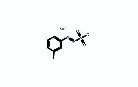 Cc1cccc(N=NS(=O)(=O)[O-])c1.[Na+]